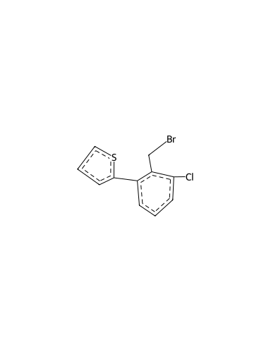 Clc1cccc(-c2cccs2)c1CBr